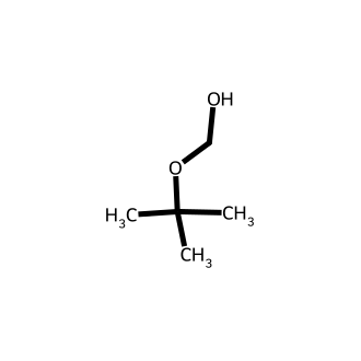 CC(C)(C)OCO